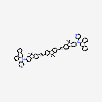 CC1(C)c2cc(/C=C/c3ccc4c(c3)C(C)(C)c3cc(N(c5cccnc5)c5cc6ccccc6c6ccccc56)ccc3-4)ccc2-c2ccc(/C=C/c3ccc4c(c3)C(C)(C)c3cc(N(c5cccnc5)c5cc6ccccc6c6ccccc56)ccc3-4)cc21